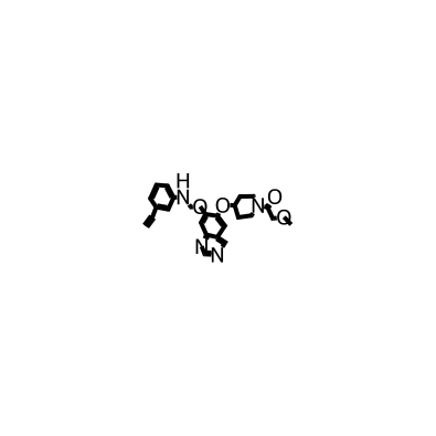 C#Cc1cccc(NCOc2cc3ncncc3cc2OC2CCN(C(=O)COC)CC2)c1